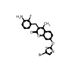 Cc1c(Cc2cccc(N)c2F)c(=O)oc2cc(Oc3ncc(Br)s3)ccc12